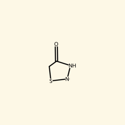 O=C1CS[N]N1